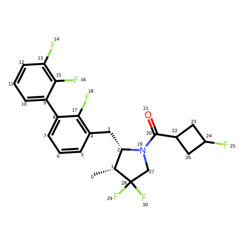 C[C@@H]1[C@H](Cc2cccc(-c3cccc(F)c3F)c2F)N(C(=O)C2CC(F)C2)CC1(F)F